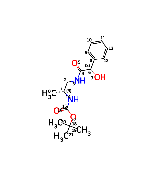 C[C@H](CNC(=O)[C@@H](O)c1ccccc1)NC(=O)OC(C)(C)C